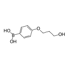 OCCCOc1ccc(B(O)O)cc1